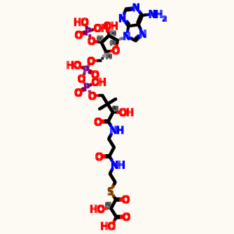 CC(C)(COP(=O)(O)OP(=O)(O)OC[C@H]1O[C@@H](n2cnc3c(N)ncnc32)[C@H](O)[C@@H]1OP(=O)(O)O)[C@@H](O)C(=O)NCCC(=O)NCCSC(=O)[C@@H](O)C(=O)O